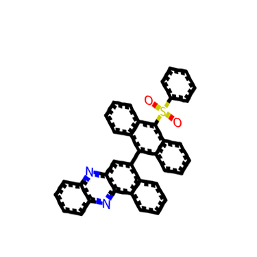 O=S(=O)(c1ccccc1)c1c2ccccc2c(-c2cc3nc4ccccc4nc3c3ccccc23)c2ccccc12